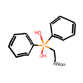 CCCCCCCCCCP(O)(O)(c1ccccc1)c1ccccc1